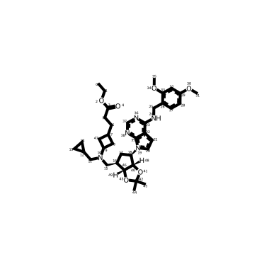 CCOC(=O)CCC1CC(N(CC2CC2)C[C@H]2C[C@@H](n3ccc4c(NCc5ccc(OC)cc5OC)ncnc43)[C@@H]3OC(C)(C)O[C@H]23)C1